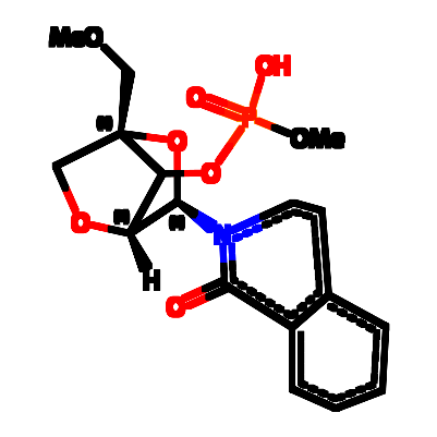 COC[C@]12CO[C@H](C1OP(=O)(O)OC)[C@H](n1ccc3ccccc3c1=O)O2